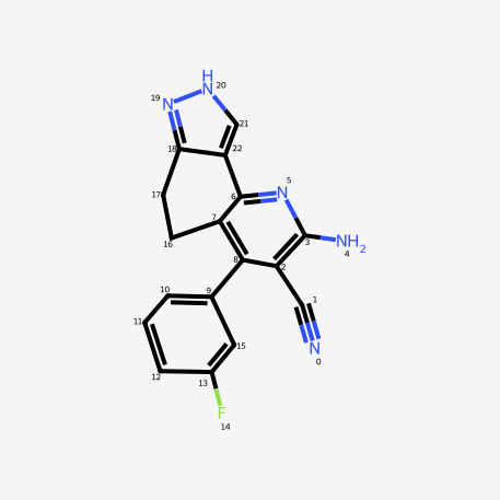 N#Cc1c(N)nc2c(c1-c1cccc(F)c1)CCc1n[nH]cc1-2